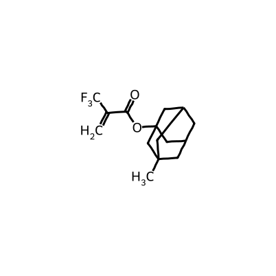 C=C(C(=O)OC12CC3CC(CC(C)(C3)C1)C2)C(F)(F)F